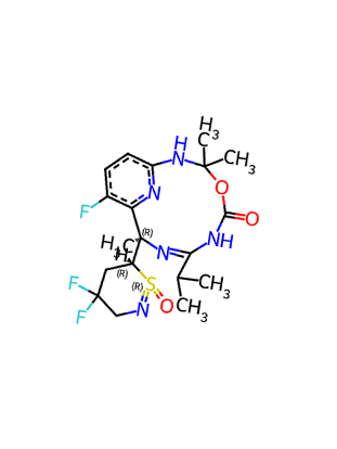 CC1(C)Nc2ccc(F)c(n2)[C@@]2(C)N=C(NC(=O)O1)C(C)(C)[S@@]1(=O)=NCC(F)(F)C[C@H]21